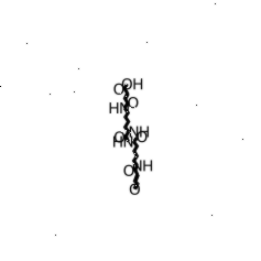 O=C/C=C/C(=O)NCCCCC1NC(=O)C(CCCCNC(=O)/C=C/C(=O)O)NC1=O